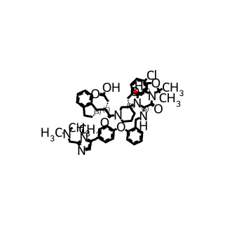 CN(C)Cc1ncc(-c2ccc(Oc3ccccc3CN[C@@H]3C(=O)N4[C@@H](COC4(C)C)C(=O)N3[C@@]3(Cc4ccc(Cl)cc4)CCCN(C(=O)[C@@H](CC(=O)O)[C@@H]4CCc5ccccc54)C3)cc2)n1C